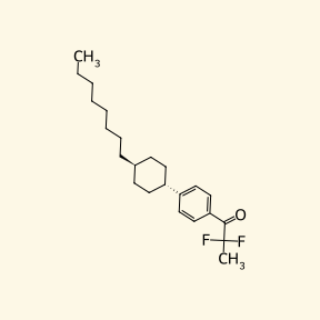 CCCCCCCC[C@H]1CC[C@H](c2ccc(C(=O)C(C)(F)F)cc2)CC1